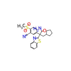 CS(=O)(=O)c1ccc(C(CC2CCCC2)(C(N)=O)c2nc3ccccc3s2)cc1C#N